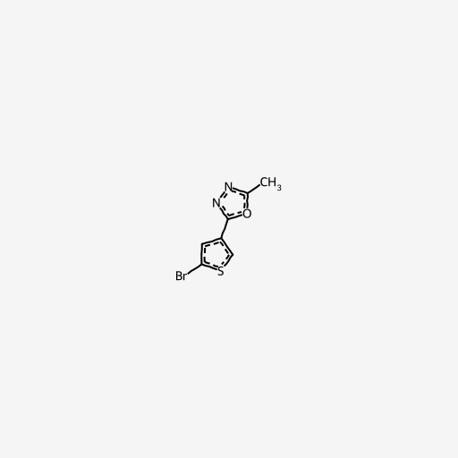 Cc1nnc(-c2csc(Br)c2)o1